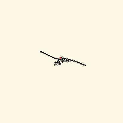 CCCCCCCCCCCCCCCCCCC(Cc1cc(C(C)(C)C)c(OC(=O)C(CCCCCCCCCCCCCCCCCC)c2cc(C(C)(C)C)c(O)c(C(C)(C)C)c2)c(C(C)(C)C)c1)C(=O)O